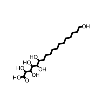 O=C(O)C(O)C(O)C(O)C(O)C(O)CCCCCCCCCCCCO